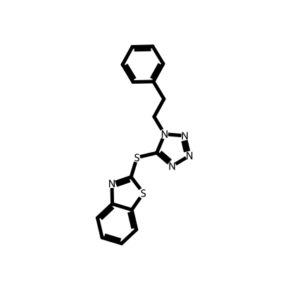 c1ccc(CCn2nnnc2Sc2nc3ccccc3s2)cc1